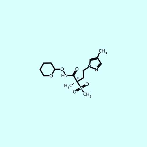 Cc1cnn(CC[C@](C)(C(=O)NOC2CCCCO2)S(C)(=O)=O)c1